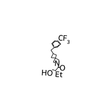 CC[C@H](CO)C(=O)N1CC2(CC(Cc3ccc(C(F)(F)F)cc3)C2)C1